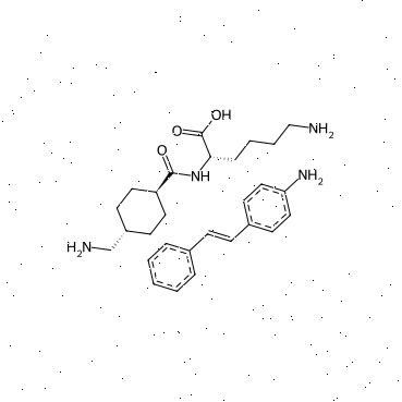 NCCCC[C@H](NC(=O)[C@H]1CC[C@H](CN)CC1)C(=O)O.Nc1ccc(C=Cc2ccccc2)cc1